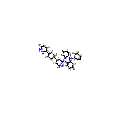 c1ccc(N2c3ccccc3N(c3cc(-c4ccc(-c5cccnc5)cc4)ccn3)c3ccccc32)cc1